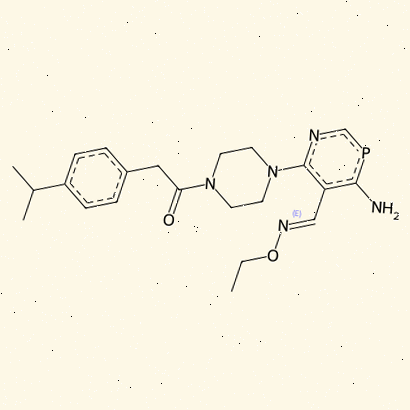 CCO/N=C/c1c(N2CCN(C(=O)Cc3ccc(C(C)C)cc3)CC2)ncpc1N